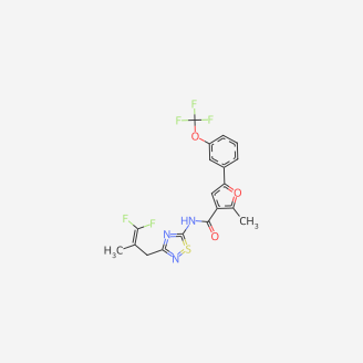 CC(Cc1nsc(NC(=O)c2cc(-c3cccc(OC(F)(F)F)c3)oc2C)n1)=C(F)F